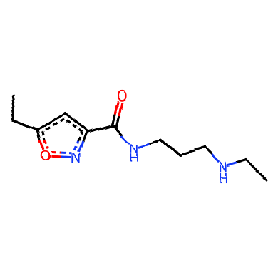 CCNCCCNC(=O)c1cc(CC)on1